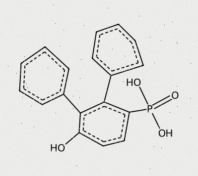 O=P(O)(O)c1ccc(O)c(-c2ccccc2)c1-c1ccccc1